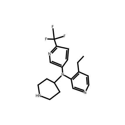 CCc1ccncc1N(c1ccc(C(F)(F)F)nc1)C1CCNCC1